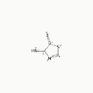 N=C1N=CSC1=S